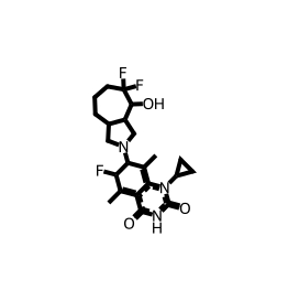 CC1=c2c(=O)[nH]c(=O)n(C3CC3)c2=C(C)C(N2CC3CCCC(F)(F)C(O)C3C2)C1F